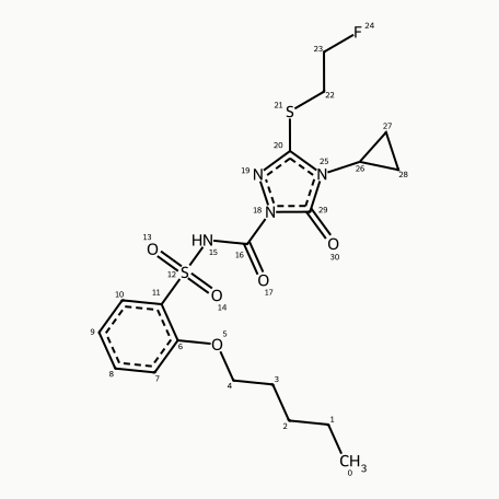 CCCCCOc1ccccc1S(=O)(=O)NC(=O)n1nc(SCCF)n(C2CC2)c1=O